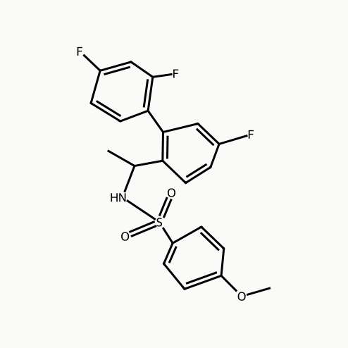 COc1ccc(S(=O)(=O)NC(C)c2ccc(F)cc2-c2ccc(F)cc2F)cc1